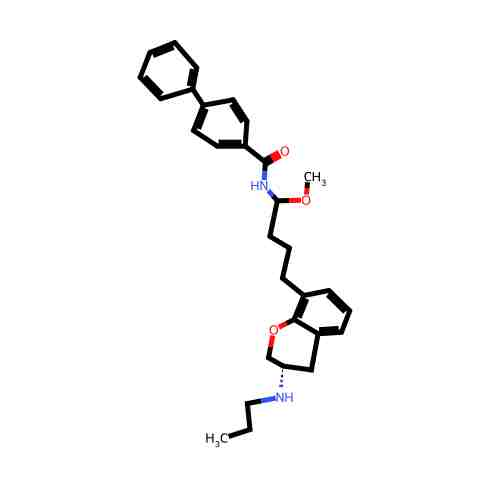 CCCN[C@@H]1COc2c(CCCC(NC(=O)c3ccc(-c4ccccc4)cc3)OC)cccc2C1